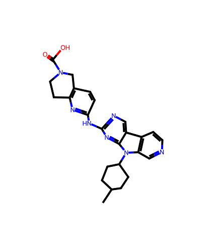 CC1CCC(n2c3cnccc3c3cnc(Nc4ccc5c(n4)CCN(C(=O)O)C5)nc32)CC1